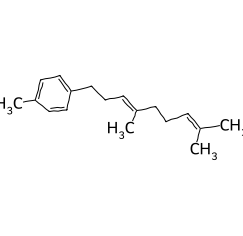 CC(C)=CCC/C(C)=C/CCc1ccc(C)cc1